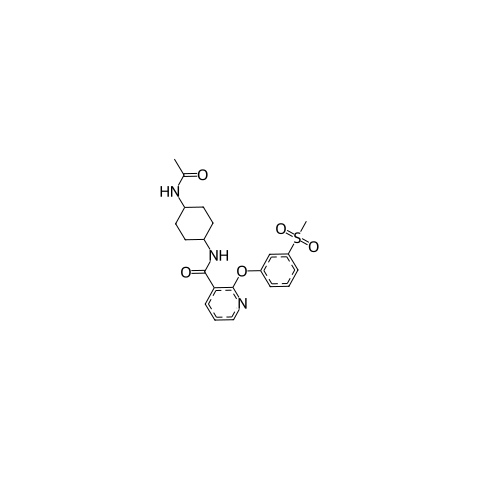 CC(=O)NC1CCC(NC(=O)c2cccnc2Oc2cccc(S(C)(=O)=O)c2)CC1